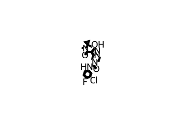 CN(C(=O)c1cnn2c1CN(C(=O)Nc1ccc(F)c(Cl)c1)CC2)C1(CO)CC1